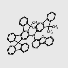 CC1(C)c2ccccc2-c2ccc(N(c3cc4c(c5c3C(C)(C)c3ccccc3-5)-c3ccccc3C43c4ccccc4-c4ccccc43)c3cccc4c3oc3ccccc34)cc21